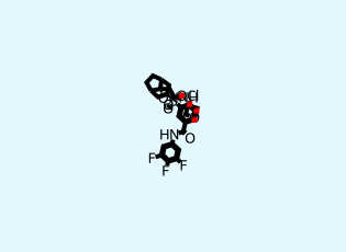 O=C(C[C@]1(O)C2CCC1C[C@@H](S(=O)(=O)c1cc(C(=O)Nc3cc(F)c(F)c(F)c3)ccc1Cl)C2)NC1COC1